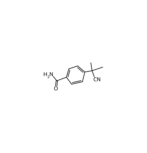 CC(C)(C#N)c1ccc(C(N)=O)cc1